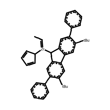 C[CH]=[Zr]([CH]1C=CC=C1)[CH]1c2cc(-c3ccccc3)c(C(C)(C)C)cc2-c2cc(C(C)(C)C)c(-c3ccccc3)cc21